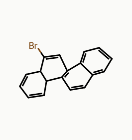 BrC1=Cc2c(ccc3ccccc23)C2C=CC=CC12